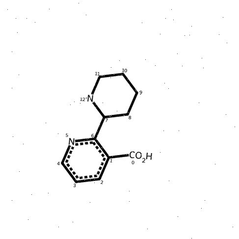 O=C(O)c1cccnc1C1CCCC[N]1